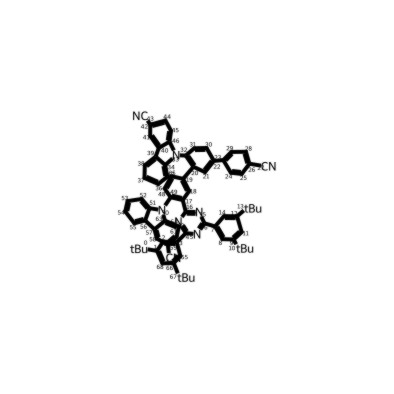 CC(C)(C)c1cc(-c2nc(-c3cc(C(C)(C)C)cc(C(C)(C)C)c3)nc(-c3cc(-c4cc(-c5ccc(C#N)cc5)ccc4-n4c5ccccc5c5cc(C#N)ccc54)ccc3-n3c4ccccc4c4cc(C#N)ccc43)n2)cc(C(C)(C)C)c1